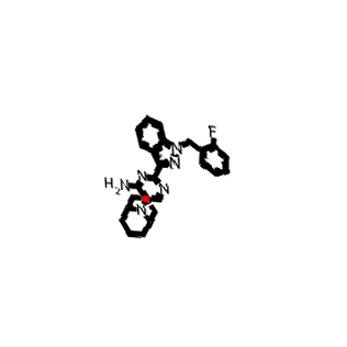 Nc1nc(-c2nn(Cc3ccccc3F)c3ccccc23)ncc1N1C2CCCC1COC2